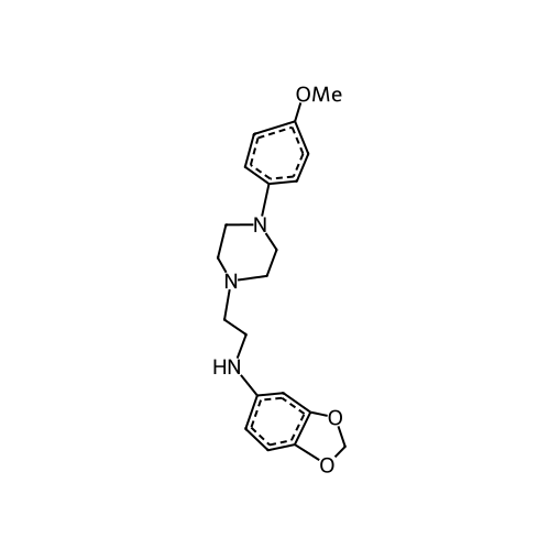 COc1ccc(N2CCN(CCNc3ccc4c(c3)OCO4)CC2)cc1